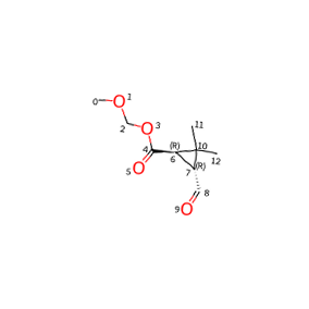 COCOC(=O)[C@@H]1[C@@H](C=O)C1(C)C